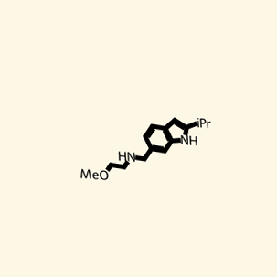 COCCNCc1ccc2cc(C(C)C)[nH]c2c1